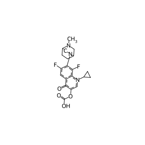 CN1CC2CCC1CN2c1c(F)cc2c(=O)c(OC(=O)O)cn(C3CC3)c2c1F